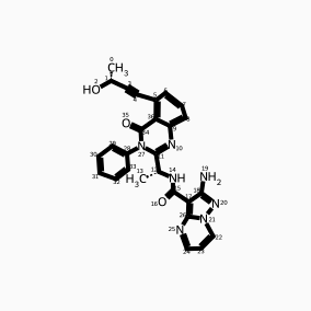 C[C@@H](O)C#Cc1cccc2nc([C@@H](C)NC(=O)c3c(N)nn4cccnc34)n(-c3ccccc3)c(=O)c12